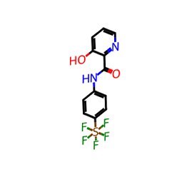 O=C(Nc1ccc(S(F)(F)(F)(F)F)cc1)c1ncccc1O